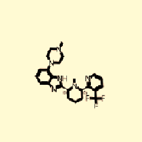 CN1CCN(c2cccc3nc([C@@H]4CCC[C@H](c5ncccc5C(F)(F)F)N4C)[nH]c23)CC1